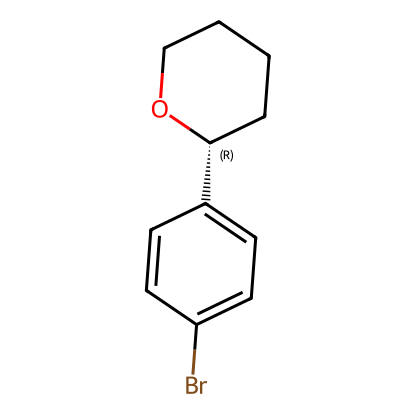 Brc1ccc([C@H]2CCCCO2)cc1